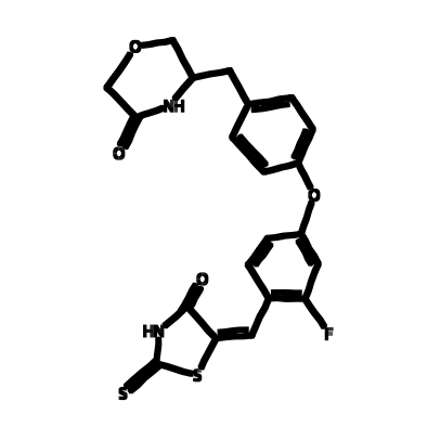 O=C1COCC(Cc2ccc(Oc3ccc(C=C4SC(=S)NC4=O)c(F)c3)cc2)N1